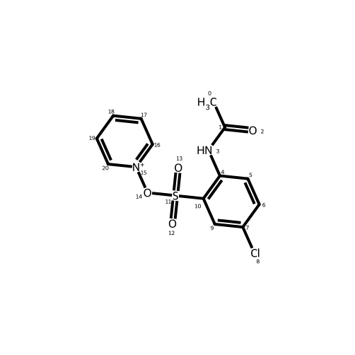 CC(=O)Nc1ccc(Cl)cc1S(=O)(=O)O[n+]1ccccc1